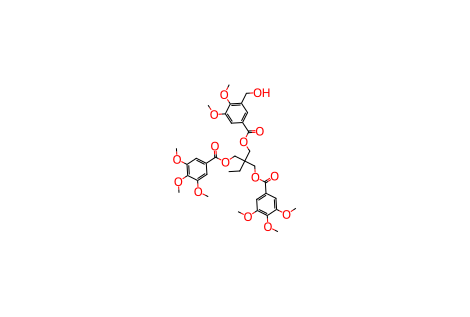 CCC(COC(=O)c1cc(CO)c(OC)c(OC)c1)(COC(=O)c1cc(OC)c(OC)c(OC)c1)COC(=O)c1cc(OC)c(OC)c(OC)c1